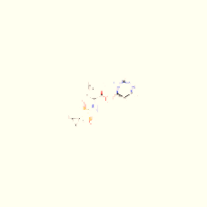 CCC(NS(=O)(=O)C1CC1)C(=O)Oc1ccncn1.[KH]